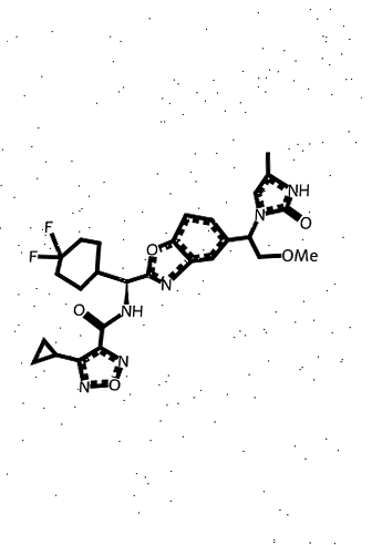 COCC(c1ccc2oc([C@@H](NC(=O)c3nonc3C3CC3)C3CCC(F)(F)CC3)nc2c1)n1cc(C)[nH]c1=O